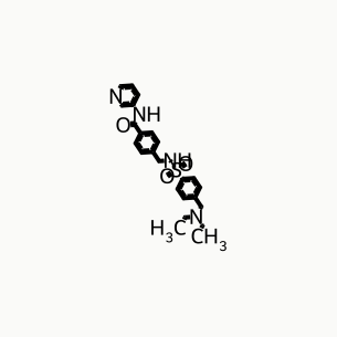 CCN(CC)Cc1ccc(S(=O)(=O)NCc2ccc(C(=O)Nc3cccnc3)cc2)cc1